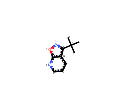 CC(C)(C)c1noc2ncccc12